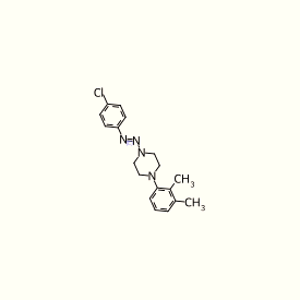 Cc1cccc(N2CCN(/N=N/c3ccc(Cl)cc3)CC2)c1C